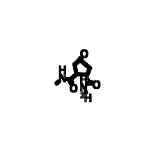 [2H]NC(=O)[C@H]1CC(=O)CC1C(=O)NC